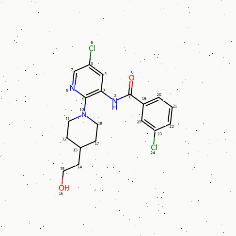 O=C(Nc1cc(Cl)cnc1N1CCC(CCO)CC1)c1cccc(Cl)c1